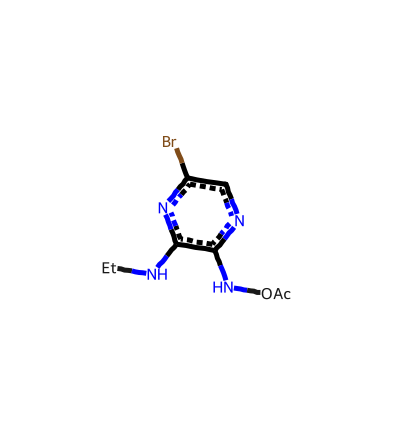 CCNc1nc(Br)cnc1NOC(C)=O